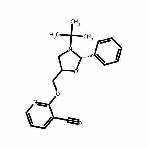 CC(C)(C)N1CC(COc2ncccc2C#N)O[C@H]1c1ccccc1